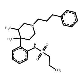 CCCS(=O)(=O)Nc1ccccc1C1(C)CCN(CCCc2ccccc2)CC1C